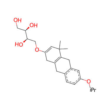 CC(C)Oc1ccc2c(c1)CC1=C(CC(OC[C@@H](O)[C@H](O)CO)=CC1(C)C)C2